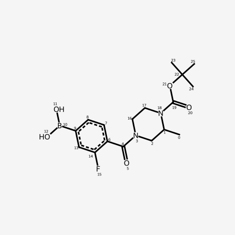 CC1CN(C(=O)c2ccc(B(O)O)cc2F)CCN1C(=O)OC(C)(C)C